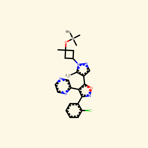 CC1(O[Si](C)(C)C(C)(C)C)CC(n2ncc(-c3onc(-c4ccccc4Cl)c3-c3cnccn3)c2C(F)(F)F)C1